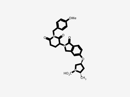 COc1ccc(CN2C(=O)CCC(N3Cc4cc(O[C@H]5C[C@H](C)N(C(=O)O)C5)ccc4C3=O)C2=O)cc1